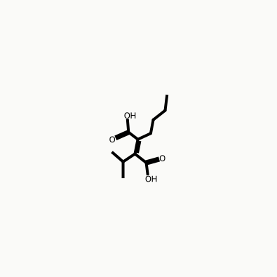 CCCC/C(C(=O)O)=C(\C(=O)O)C(C)C